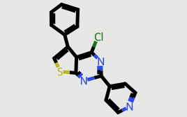 Clc1nc(-c2ccncc2)nc2scc(-c3ccccc3)c12